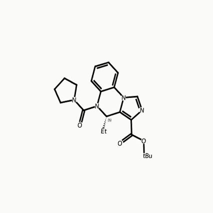 CC[C@H]1c2c(C(=O)OC(C)(C)C)ncn2-c2ccccc2N1C(=O)N1CCCC1